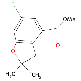 COC(=O)c1cc(F)cc2c1CC(C)(C)O2